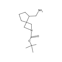 CC(C)(C)OC(=O)N1CC2(CCCC2CN)C1